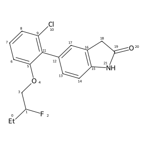 CCC(F)COc1cccc(Cl)c1-c1ccc2c(c1)CC(=O)N2